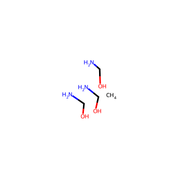 C.NCO.NCO.NCO